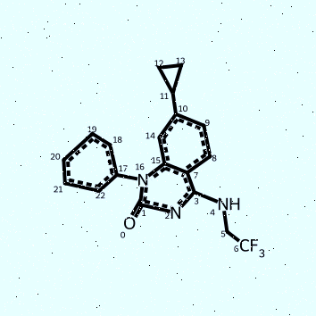 O=c1nc(NCC(F)(F)F)c2ccc(C3CC3)cc2n1-c1ccccc1